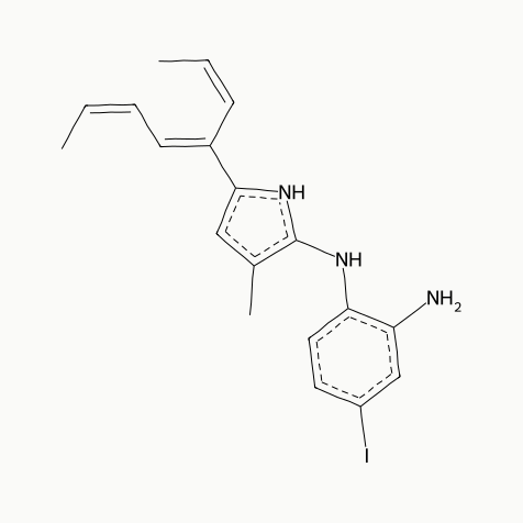 C\C=C/C=C(\C=C/C)c1cc(C)c(Nc2ccc(I)cc2N)[nH]1